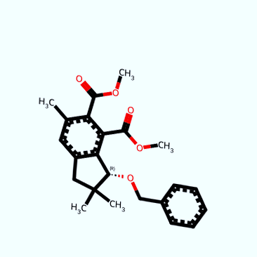 COC(=O)c1c(C)cc2c(c1C(=O)OC)[C@H](OCc1ccccc1)C(C)(C)C2